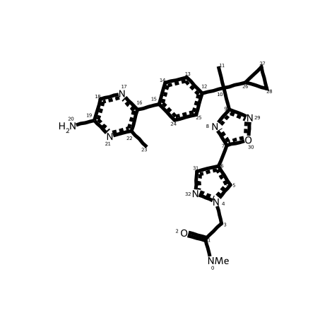 CNC(=O)Cn1cc(-c2nc(C(C)(c3ccc(-c4ncc(N)nc4C)cc3)C3CC3)no2)cn1